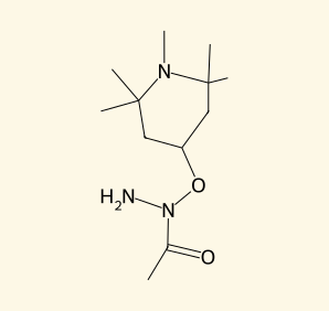 CC(=O)N(N)OC1CC(C)(C)N(C)C(C)(C)C1